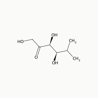 CC(C)[C@@H](O)[C@H](O)C(=O)CO